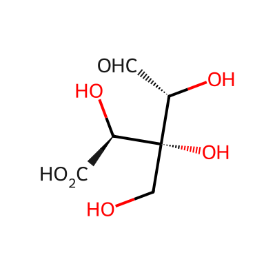 O=C[C@H](O)[C@@](O)(CO)[C@H](O)C(=O)O